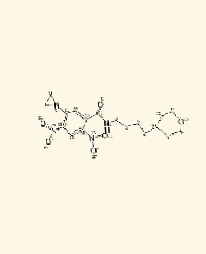 O=C(NCCCCN1CCOCC1)c1cc(N2CC2)c([N+](=O)[O-])cc1[N+](=O)[O-]